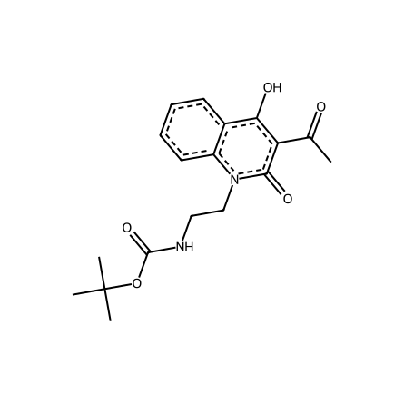 CC(=O)c1c(O)c2ccccc2n(CCNC(=O)OC(C)(C)C)c1=O